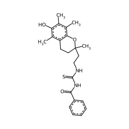 Cc1c(C)c2c(c(C)c1O)CCC(C)(CCNC(=S)NC(=O)c1ccccc1)O2